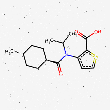 CC(C)N(c1ccsc1C(=O)O)C(=O)[C@H]1CC[C@H](C)CC1